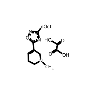 CCCCCCCCc1noc(C2=CCCN(C)C2)n1.O=C(O)C(=O)O